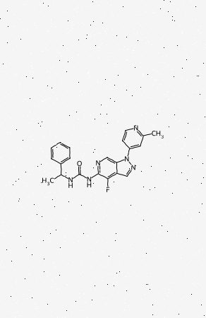 Cc1cc(-n2ncc3c(F)c(NC(=O)NC(C)c4ccccc4)ncc32)ccn1